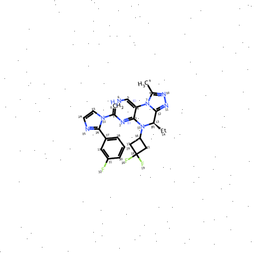 C=C(/N=C1\C(=C/N)n2c(C)nnc2[C@@H](CC)N1C1CC(F)(F)C1)n1ccnc1-c1cccc(F)c1